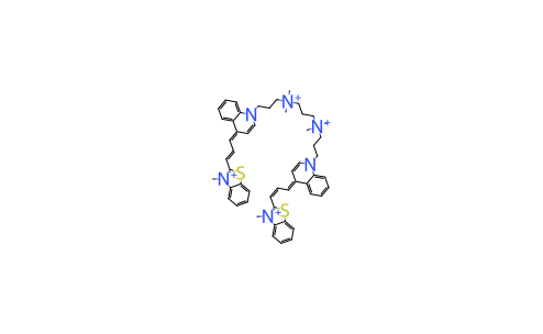 C[n+]1c(C=CC=C2C=CN(CCC[N+](C)(C)CCC[N+](C)(C)CCCN3C=CC(=CC=Cc4sc5ccccc5[n+]4C)c4ccccc43)c3ccccc32)sc2ccccc21